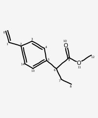 [CH]=Cc1ccc(C(CC)C(=O)OC)cc1